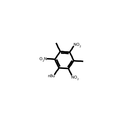 CCCCc1c([N+](=O)[O-])c(C)c([N+](=O)[O-])c(C)c1[N+](=O)[O-]